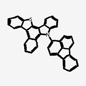 c1ccc2c(c1)-c1cccc3c(-n4c5ccccc5c5c6sc7ccccc7c6c6ccccc6c54)ccc-2c13